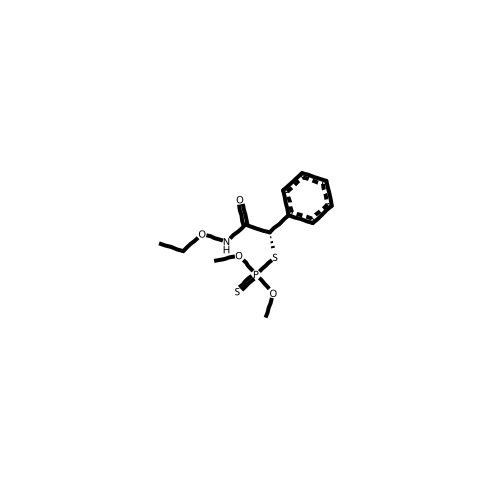 CCONC(=O)[C@@H](SP(=S)(OC)OC)c1ccccc1